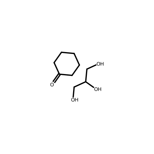 O=C1CCCCC1.OCC(O)CO